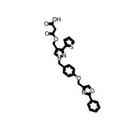 O=C(O)CC(=O)OCc1cn(Cc2ccc(OCc3coc(-c4ccccc4)n3)cc2)nc1-c1cccs1